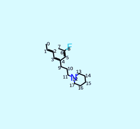 C/C=C/C=C(\C=C(/C)F)CCCN1CCCCC1